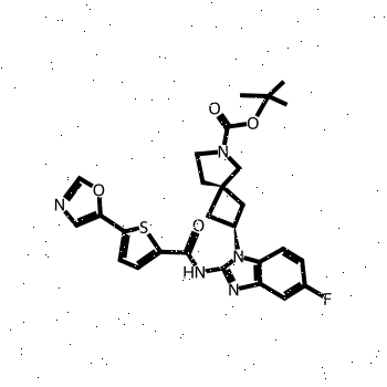 CC(C)(C)OC(=O)N1CC[C@]2(C1)C[C@H](n1c(NC(=O)c3ccc(-c4cnco4)s3)nc3cc(F)ccc31)C2